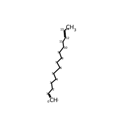 [CH]=CCCCCCCCCCCC=CC